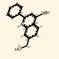 CC(C)(C)c1cc(-c2ccccc2)nc2cc(CO)ccc12